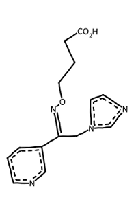 O=C(O)CCCON=C(Cn1ccnc1)c1cccnc1